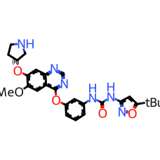 COc1cc2c(Oc3cccc(NC(=O)Nc4cc(C(C)(C)C)on4)c3)ncnc2cc1O[C@@H]1CCNC1